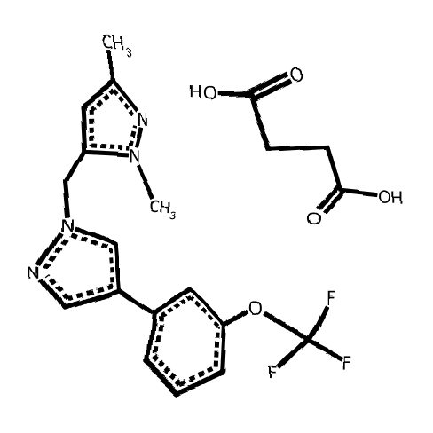 Cc1cc(Cn2cc(-c3cccc(OC(F)(F)F)c3)cn2)n(C)n1.O=C(O)CCC(=O)O